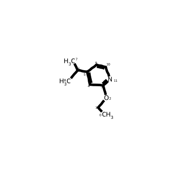 CCOc1cc(C(C)C)ccn1